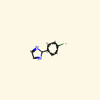 Fc1ccc(C2N=CC=N2)cc1